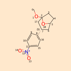 COC12CCC(C[C@H](c3ccc([N+](=O)[O-])cc3)C1)O2